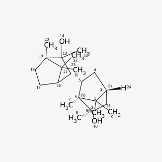 CC1(C)[C@@H]2CC[C@]1(C)[C@](C)(O)C2.CC1(O)CC2CCC1(C)C2(C)C